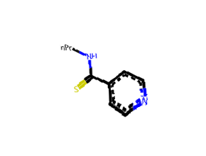 CCCNC(=S)c1ccncc1